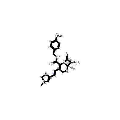 COc1ccc(COC(=O)C2=C(/C=C/C3=CN(C)CS3)CS[C@@H]3[C@H](N)C(=O)N23)cc1